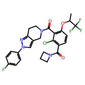 CC(Oc1ccc(C(=O)N2CCC2)c(Cl)c1C(=O)N1CCc2nn(-c3ccc(F)cc3)cc2C1)C(F)(F)F